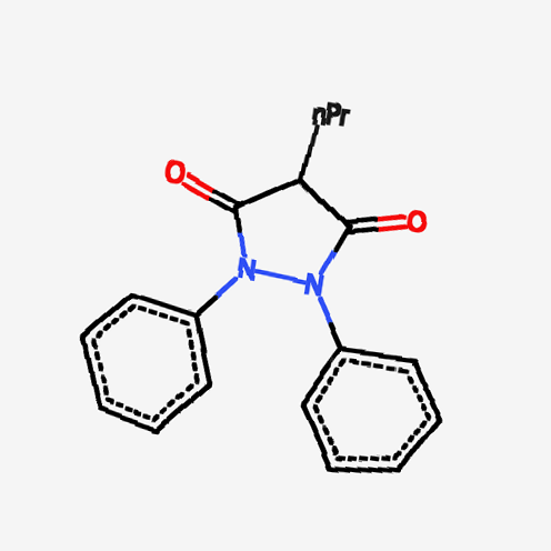 CCCC1C(=O)N(c2ccccc2)N(c2ccccc2)C1=O